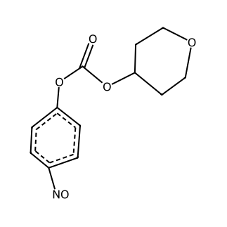 O=Nc1ccc(OC(=O)OC2CCOCC2)cc1